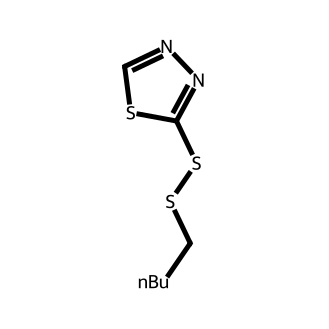 CCCCCSSc1nncs1